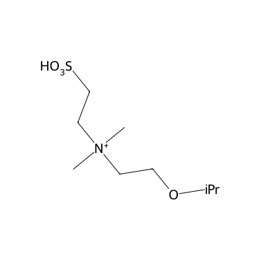 CC(C)OCC[N+](C)(C)CCS(=O)(=O)O